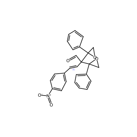 O=CC(/C=C/c1ccc([N+](=O)[O-])cc1)(C1(c2ccccc2)CO1)C1(c2ccccc2)CO1